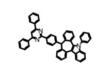 c1ccc(-c2cc(-c3ccccc3)nc(-c3ccc(C4c5ccccc5-c5c(n(-c6ccccc6)c6ccccc56)-c5ccccc54)cc3)n2)cc1